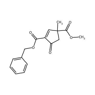 COC(=O)C1(C)C=C(C(=O)OCc2ccccc2)C(=O)C1